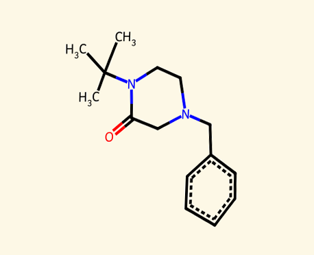 CC(C)(C)N1CCN(Cc2ccccc2)CC1=O